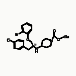 CC(C)(C)OC(=O)N1CCC(N[C@H](COc2ccccc2Br)Cc2ccc(Cl)cc2)CC1